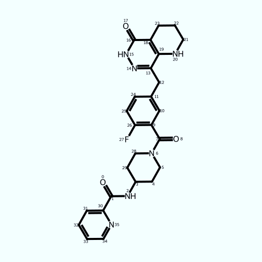 O=C(NC1CCN(C(=O)c2cc(Cc3n[nH]c(=O)c4c3NCCC4)ccc2F)CC1)c1ccccn1